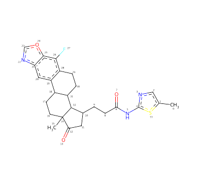 Cc1cnc(NC(=O)CCC2CC(=O)C3(C)CCC4c5cc6ncoc6c(F)c5CCC4C23)s1